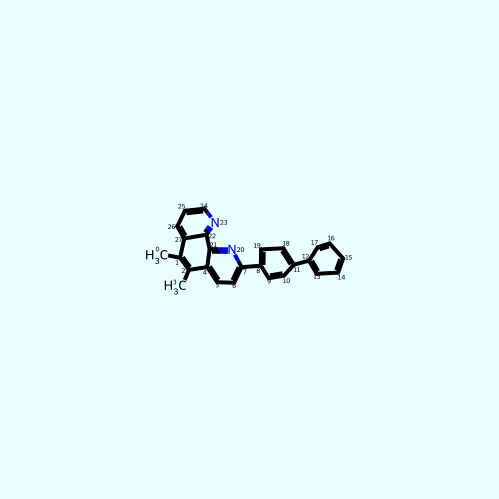 Cc1c(C)c2ccc(-c3ccc(-c4ccccc4)cc3)nc2c2ncccc12